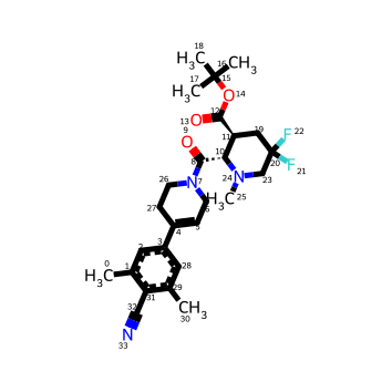 Cc1cc(C2=CCN(C(=O)[C@@H]3[C@@H](C(=O)OC(C)(C)C)CC(F)(F)CN3C)CC2)cc(C)c1C#N